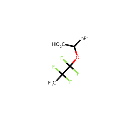 CCCC(OC(F)(F)C(F)(F)C(F)(F)F)C(=O)O